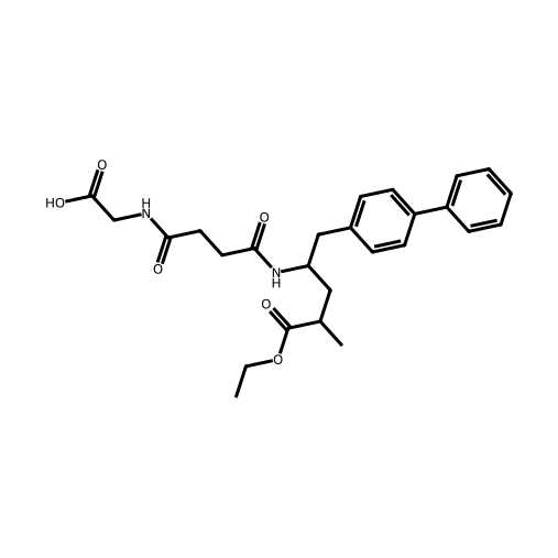 CCOC(=O)C(C)CC(Cc1ccc(-c2ccccc2)cc1)NC(=O)CCC(=O)NCC(=O)O